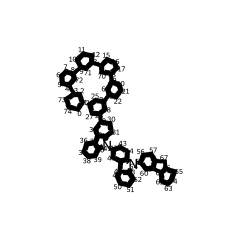 c1ccc(-c2cccc(-c3cccc(-c4cccc(-c5cccc(-c6cccc(-c7ccc8c(c7)c7ccccc7n8-c7ccc8c(c7)c7ccccc7n8-c7ccc8c(c7)-c7ccccc7C8)c6)c5)c4)c3)c2)cc1